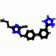 CCCc1nc(CCC(C)C)nn1Cc1ccc(-c2cccc(-c3nnn[nH]3)c2)cc1